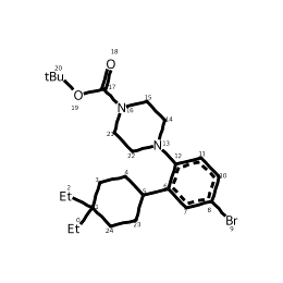 CCC1(CC)CCC(c2cc(Br)ccc2N2CCN(C(=O)OC(C)(C)C)CC2)CC1